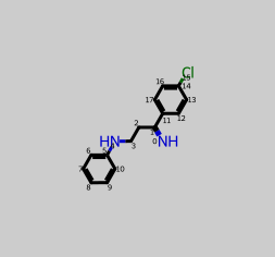 N=C(CCNc1ccccc1)c1ccc(Cl)cc1